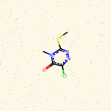 CSc1nnc(Cl)c(=O)n1C